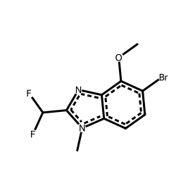 COc1c(Br)ccc2c1nc(C(F)F)n2C